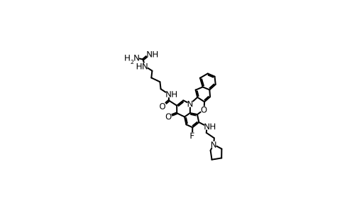 N=C(N)NCCCCNC(=O)c1cn2c3c(c(NCCN4CCCC4)c(F)cc3c1=O)Oc1cc3ccccc3cc1-2